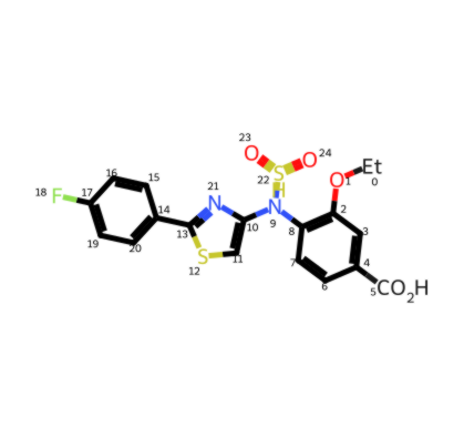 CCOc1cc(C(=O)O)ccc1N(c1csc(-c2ccc(F)cc2)n1)[SH](=O)=O